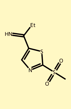 CCC(=N)c1cnc(S(C)(=O)=O)s1